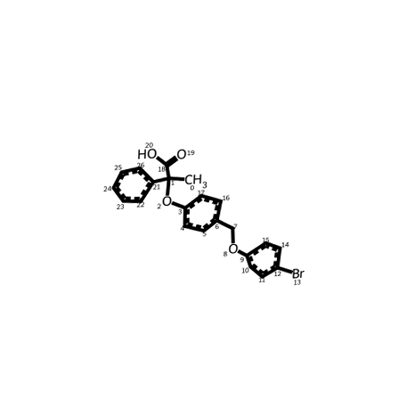 CC(Oc1ccc(COc2ccc(Br)cc2)cc1)(C(=O)O)c1ccccc1